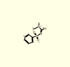 [2H]C(=NS(=O)(=O)c1ccccc1)N(C)C